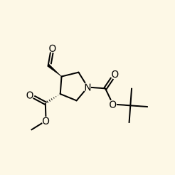 COC(=O)[C@H]1CN(C(=O)OC(C)(C)C)C[C@@H]1C=O